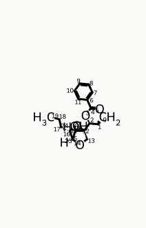 C=C[C@H](OC(=O)c1ccccc1)[C@@]12CO[C@@H]([C@H](CCC)O1)[C@@H]2O